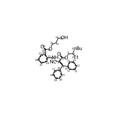 CCCCC(CC)COC(=O)C(C#N)=C(c1ccccc1)c1ccccc1.Nc1ccccc1C(=O)OCCCO